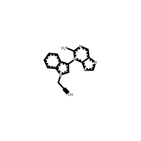 C#CCn1cc(-n2c3ncnc-3cnc2[N+](=O)[O-])c2ccccc21